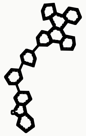 c1cc(-c2ccc(-c3ccc4c(c3)c3ccccc3c3c5ccccc5c5ccccc5c43)cc2)cc(-c2ccc3c(c2)oc2ccccc23)c1